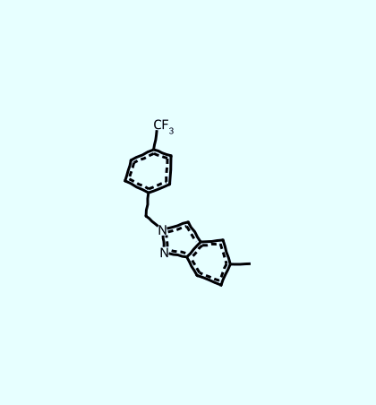 Cc1ccc2nn(Cc3ccc(C(F)(F)F)cc3)cc2c1